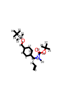 C=CC[C@H](C1CCC(CO[Si](C)(C)C(C)(C)C)CC1)N(C)C(=O)OC(C)(C)C